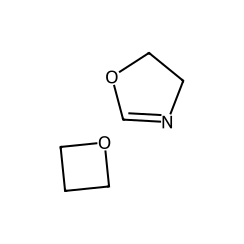 C1=NCCO1.C1COC1